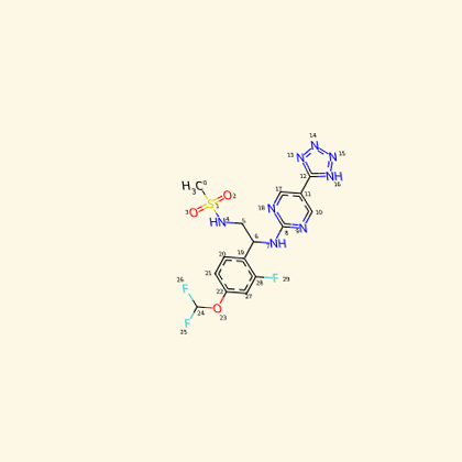 CS(=O)(=O)NCC(Nc1ncc(-c2nnn[nH]2)cn1)c1ccc(OC(F)F)cc1F